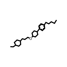 CCCCCc1ccc(C2CCC(OCCCC3CCC(CC)CC3)CC2)cc1